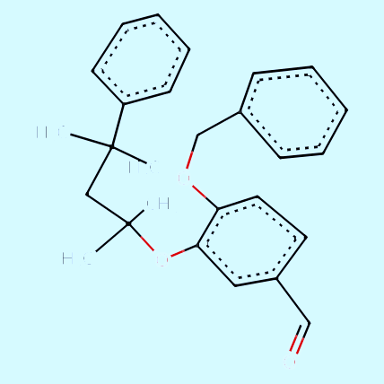 CC(C)(CC(C)(C)c1ccccc1)Oc1cc(C=O)ccc1OCc1ccccc1